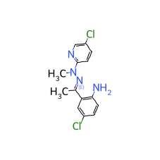 C/C(=N\N(C)c1ccc(Cl)cn1)c1cc(Cl)ccc1N